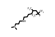 CN(C)CCCNCCCCC(CC(F)(C(F)(F)F)C(F)(F)F)C(F)(F)F